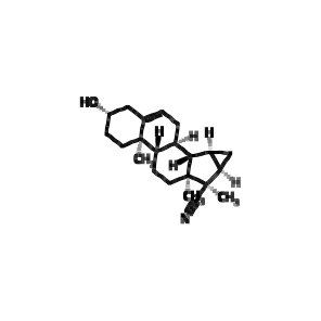 C[C@]12CC[C@H](O)CC1=CC[C@H]1[C@@H]3[C@H]4C[C@H]4[C@@](C)(C#N)[C@@]3(C)CC[C@@H]12